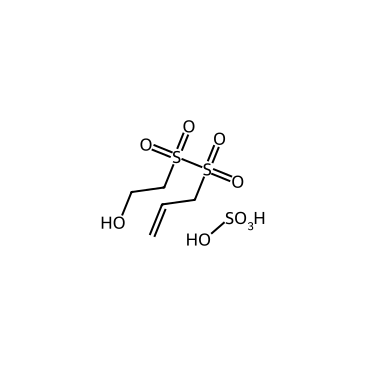 C=CCS(=O)(=O)S(=O)(=O)CCO.O=S(=O)(O)O